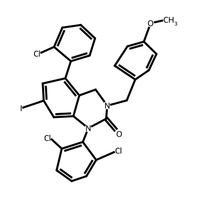 COc1ccc(CN2Cc3c(-c4ccccc4Cl)cc(I)cc3N(c3c(Cl)cccc3Cl)C2=O)cc1